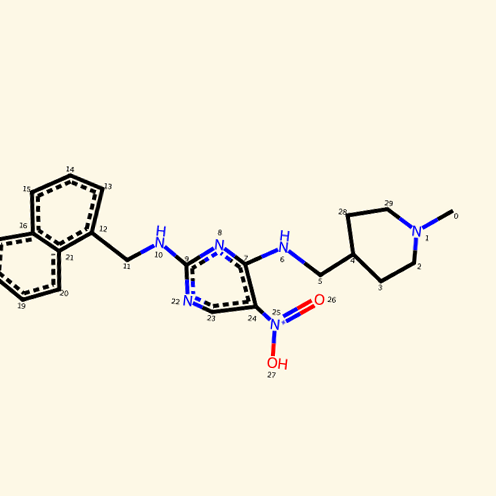 CN1CCC(CNc2nc(NCc3cccc4ccccc34)ncc2[N+](=O)O)CC1